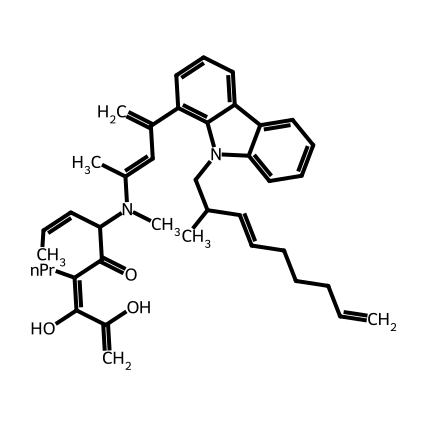 C=CCCC/C=C/C(C)Cn1c2ccccc2c2cccc(C(=C)/C=C(\C)N(C)C(/C=C\C)C(=O)/C(CCC)=C(/O)C(=C)O)c21